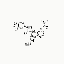 CN(C)C(=O)Cc1cccc(-n2nc(C(C)(C)C)cc2NC(=O)Nc2ccc3c(c2)OCO3)c1